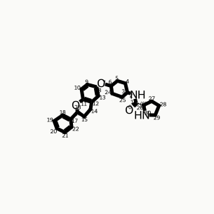 O=C(NC1CCC(Oc2ccc3c(c2)CCC(c2ccccc2)O3)CC1)[C@@H]1CCCN1